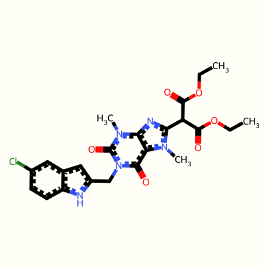 CCOC(=O)C(C(=O)OCC)c1nc2c(c(=O)n(Cc3cc4cc(Cl)ccc4[nH]3)c(=O)n2C)n1C